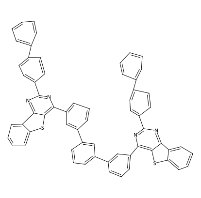 c1ccc(-c2ccc(-c3nc(-c4cccc(-c5cccc(-c6cccc(-c7nc(-c8ccc(-c9ccccc9)cc8)nc8c7sc7ccccc78)c6)c5)c4)c4sc5ccccc5c4n3)cc2)cc1